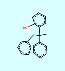 CC(Cc1ccccc1)(c1ccccc1)c1ccccc1O